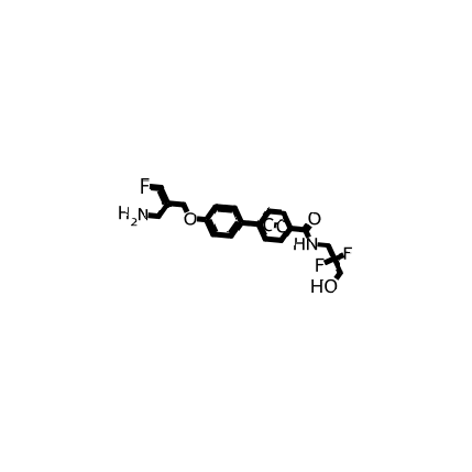 NC/C(=C\F)COc1ccc(C23CCC(C(=O)NCC(F)(F)CO)(CC2)CC3)cc1